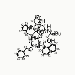 CCC(C)[C@@H](CO)NC(=O)CP(=O)(O)C(CC(C)C)NC(=O)[C@H](Cc1cscn1)NC(=O)[C@H](Cc1cccc2ccccc12)NC(=O)OCc1ccccc1